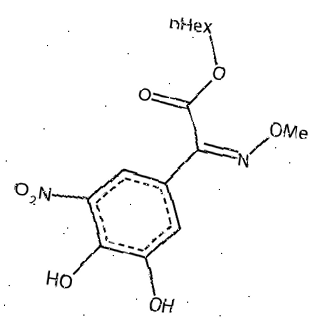 CCCCCCOC(=O)/C(=N\OC)c1cc(O)c(O)c([N+](=O)[O-])c1